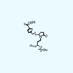 CCCCC[C@@H](CCN1C(=O)CCC1COCc1ccc(C(=O)OC)s1)O[Si](C)(C)C(C)(C)C